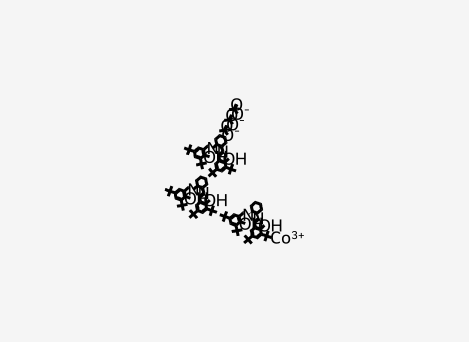 CC(=O)[O-].CC(=O)[O-].CC(=O)[O-].CC(C)(C)c1cc(C=NC2CCCCC2N=Cc2cc(C(C)(C)C)cc(C(C)(C)C)c2O)c(O)c(C(C)(C)C)c1.CC(C)(C)c1cc(C=NC2CCCCC2N=Cc2cc(C(C)(C)C)cc(C(C)(C)C)c2O)c(O)c(C(C)(C)C)c1.CC(C)(C)c1cc(C=N[C@@H]2CCCC[C@H]2N=Cc2cc(C(C)(C)C)cc(C(C)(C)C)c2O)c(O)c(C(C)(C)C)c1.[Co+3]